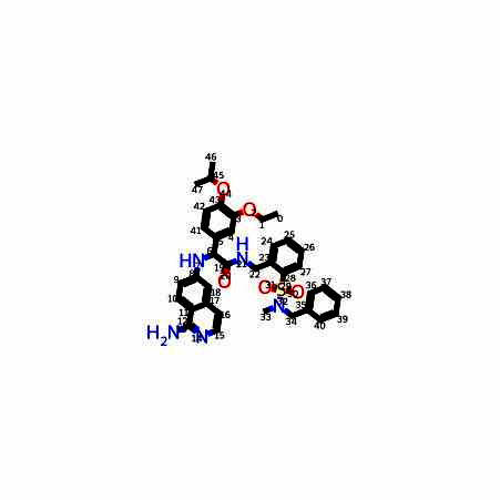 CCOc1cc(C(Nc2ccc3c(N)nccc3c2)C(=O)NCc2ccccc2S(=O)(=O)N(C)Cc2ccccc2)ccc1OC(C)C